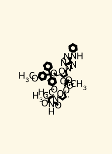 COc1ccc(C(OC[C@H]2O[C@@H](n3cnc4c(Nc5ccccc5)ncnc43)C[C@H]2OP(=O)(CO[C@@H]2[CH]C[C@H](n3cc(C)c(=O)[nH]c3=O)O2)OC)(c2ccccc2)c2ccc(OC)cc2)cc1